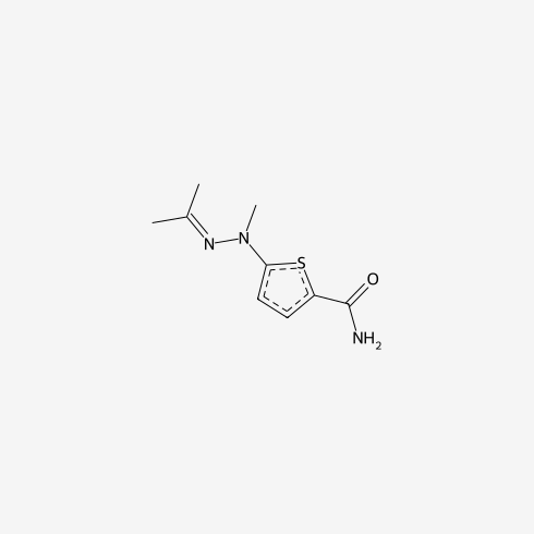 CC(C)=NN(C)c1ccc(C(N)=O)s1